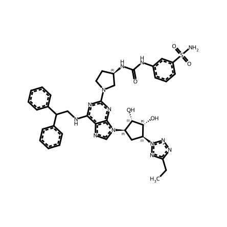 CCc1nnn([C@H]2C[C@@H](n3cnc4c(NCC(c5ccccc5)c5ccccc5)nc(N5CC[C@@H](NC(=O)Nc6cccc(S(N)(=O)=O)c6)C5)nc43)[C@H](O)[C@@H]2O)n1